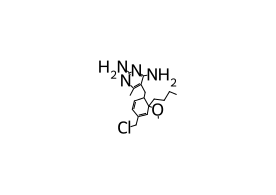 CCCCC1(OC)C=C(CCl)C=CC1Cc1c(C)nc(N)nc1N